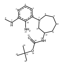 CNc1nccc(N2CCCCC(NC(=O)OC(C)(C)C)C2)c1N